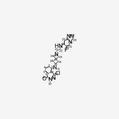 CN(c1cccc2c(=O)n(C)nc(Cl)c12)C1CC2(C1)CN(CCNc1cc3nncn3cc1F)C2